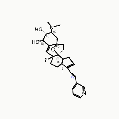 CN(C)[C@H]1C[C@@]23CC[C@]4(O2)C2CC=C(/C=C/c5cccnc5)[C@@]2(C)CCC4(F)C=C3[C@@H](O)[C@@H]1O